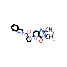 Cc1nc2ccc(N3CCC[C@@H]3C(=O)NCc3ccccc3)nc2c(=O)n1C